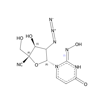 N#C[C@]1(CO)O[C@@H](n2ccc(=O)[nH]/c2=N\O)C(N=[N+]=[N-])[C@@H]1O